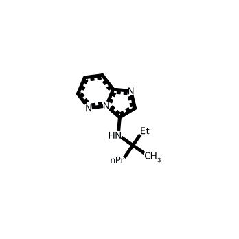 CCCC(C)(CC)Nc1cnc2cccnn12